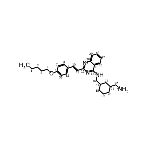 CCCCCOc1ccc(C=Cc2nc(NCC3CCCC(CN)C3)c3ccccc3n2)cc1